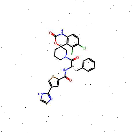 O=C1Nc2ccc(Cl)c(F)c2[C@@]2(CCCN(C(=O)[C@H](Cc3ccccc3)NC(=O)c3cc(-c4ncc[nH]4)cs3)C2)O1